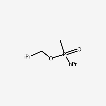 CCCP(C)(=O)OCC(C)C